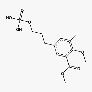 COC(=O)c1cc(CCCOP(=O)(O)O)cc(C)c1OC